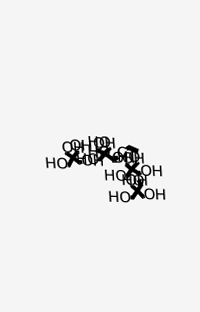 C=CC(=O)O.OCC(CO)(CO)CO.OCC(CO)(CO)CO.OCC(CO)(CO)CO.OCC(CO)(CO)CO